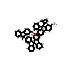 CC(C)(C)c1ccc2c(c1)C1(c3ccccc3Sc3ccc(N(c4ccc5c(c4)C(C)(C)c4ccccc4-5)c4ccc5c(c4)C4(c6ccccc6-c6ccccc64)c4ccccc4-5)cc31)c1cc(C(C)(C)C)ccc1-2